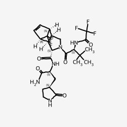 CC(C)(C)[C@H](NC(=O)C(F)(F)F)C(=O)N1C[C@H]2[C@@H]([C@H]1C(=O)N[C@@H](C[C@@H]1CCNC1=O)C(N)=O)[C@H]1C=C[C@@H]2C1(F)F